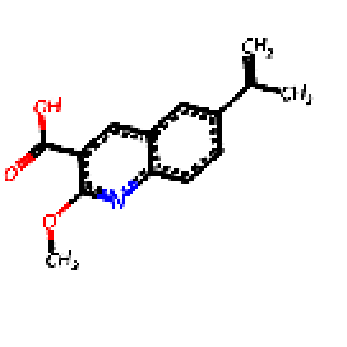 C=C(C)c1ccc2nc(OC)c(C(=O)O)cc2c1